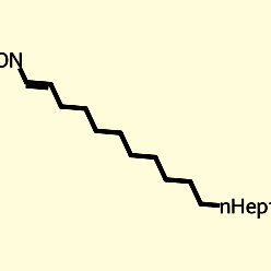 CCCCCCCCCCCCCCCCC=CN=O